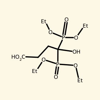 CCOP(=O)(OCC)C(O)(CCC(=O)O)P(=O)(OCC)OCC